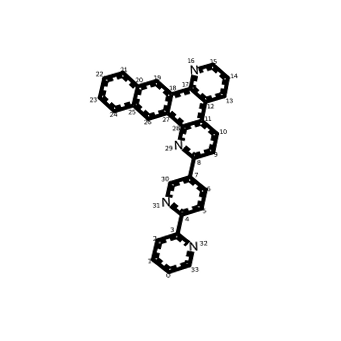 c1ccc(-c2ccc(-c3ccc4c5cccnc5c5cc6ccccc6cc5c4n3)cn2)nc1